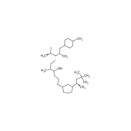 CC1CCC(CC(C)[C@H](CCC(C)C(O)CCCC2CCCC([C@H](C)CC(C)(C)C)C2)[C@@H](C)I)CC1